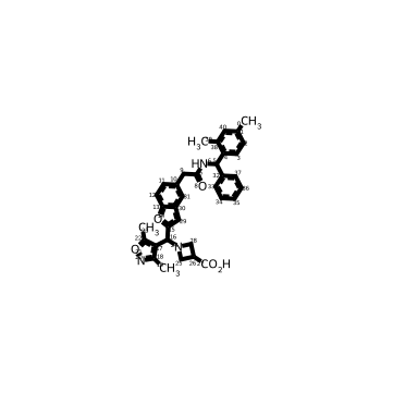 Cc1ccc(C(NC(=O)Cc2ccc3oc(C(c4c(C)noc4C)N4CC(C(=O)O)C4)cc3c2)c2ccccc2)c(C)c1